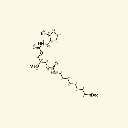 CCCCCCCCCCCCCCCCCCNC(=O)OCC(COC(=O)NCC1CCCN1CC)OC